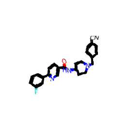 N#Cc1ccc(CN2CCC(NC(=O)c3ccc(-c4cccc(F)c4)nc3)CC2)cc1